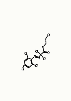 O=C(OCCCl)C(Cl)(Cl)N=Nc1c(Cl)cc(Cl)cc1Cl